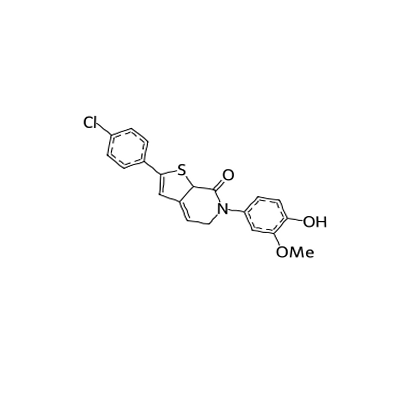 COc1cc(N2CC=C3C=C(c4ccc(Cl)cc4)SC3C2=O)ccc1O